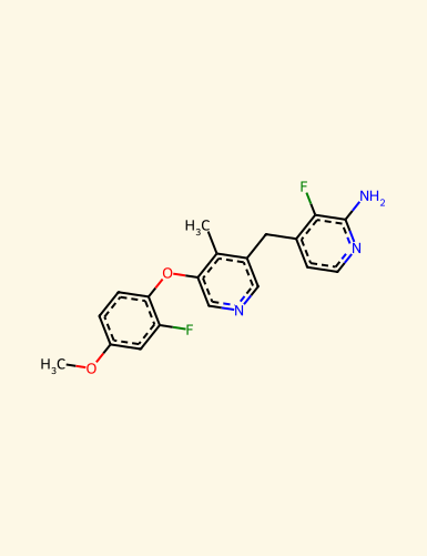 COc1ccc(Oc2cncc(Cc3ccnc(N)c3F)c2C)c(F)c1